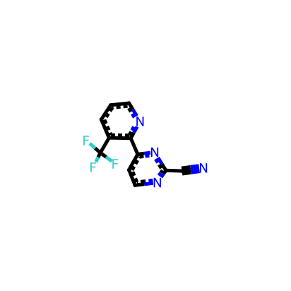 N#Cc1nccc(-c2ncccc2C(F)(F)F)n1